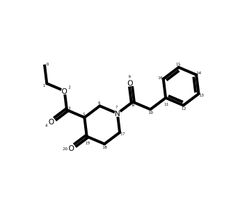 CCOC(=O)C1CN(C(=O)Cc2ccccc2)CCC1=O